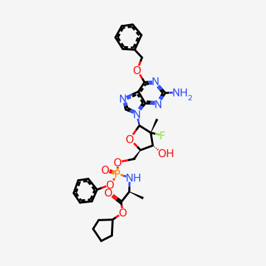 C[C@H](NP(=O)(OC[C@H]1O[C@@H](n2cnc3c(OCc4ccccc4)nc(N)nc32)[C@](C)(F)[C@@H]1O)Oc1ccccc1)C(=O)OC1CCCC1